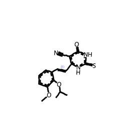 COc1cccc(/C=C/c2[nH]c(=S)[nH]c(=O)c2C#N)c1OC(C)C